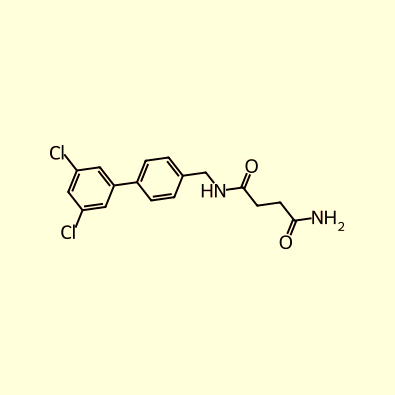 NC(=O)CCC(=O)NCc1ccc(-c2cc(Cl)cc(Cl)c2)cc1